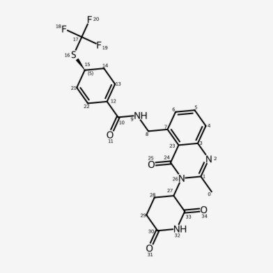 Cc1nc2cccc(CNC(=O)C3=CC[C@H](SC(F)(F)F)C=C3)c2c(=O)n1C1CCC(=O)NC1=O